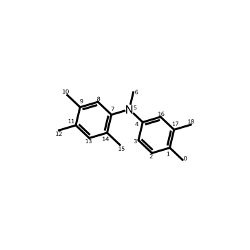 Cc1ccc(N(C)c2cc(C)c(C)cc2C)cc1C